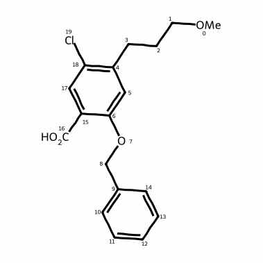 COCCCc1cc(OCc2ccccc2)c(C(=O)O)cc1Cl